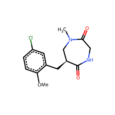 COc1ccc(Cl)cc1C[C@H]1CN(C)C(=O)CNC1=O